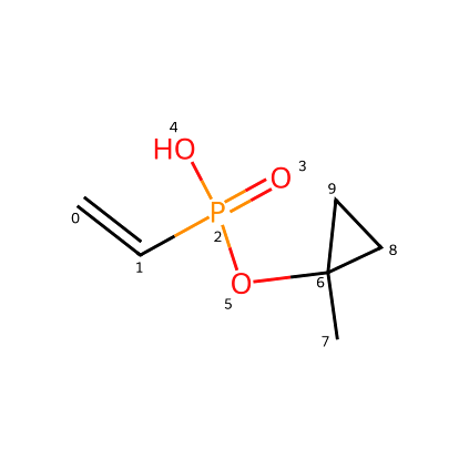 C=CP(=O)(O)OC1(C)CC1